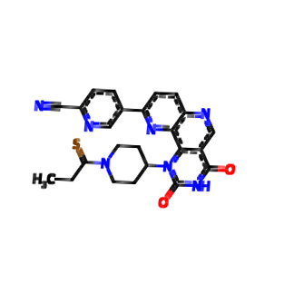 CCC(=S)N1CCC(n2c(=O)[nH]c(=O)c3cnc4ccc(-c5ccc(C#N)nc5)nc4c32)CC1